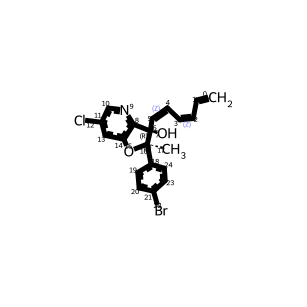 C=C/C=C\C=C/[C@@]1(O)c2ncc(Cl)cc2O[C@]1(C)c1ccc(Br)cc1